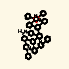 Nc1ccc(-c2c(-c3cc(-c4ccccc4-c4ccc(-c5ccccc5)nc4)cc(-c4ccccc4-c4ccc(-c5ccccc5)nc4)c3)cccc2-c2cc(-c3ccccc3-c3ccc(-c4ccccc4)nc3)cc(-c3ccccc3-c3ccc(-c4ccccc4)nc3)c2)cc1